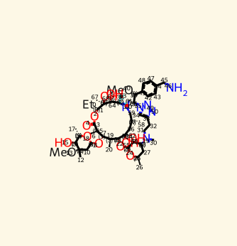 CC[C@H]1OC(=O)[C@H](C)[C@@H](O[C@H]2C[C@@](C)(OC)[C@@H](O)[C@H](C)O2)[C@H](C)[C@@H](O[C@@H]2O[C@H](C)C[C@H](N(C)CCc3cn([C@H](CF)[C@H](OC)c4ccc(CN)cc4)nn3)[C@H]2O)[C@](C)(O)C[C@@H](C)CN(C)[C@H](C)[C@@H](O)[C@]1(C)O